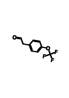 O=CCc1ccc(OC(F)(F)F)cc1